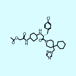 CC(=O)OCC(=O)NC1CCC(N[C@H](Cc2ccc(Cl)cc2)C(=O)N2CCC(Cn3cncn3)(C3CCCCC3)CC2)CC1